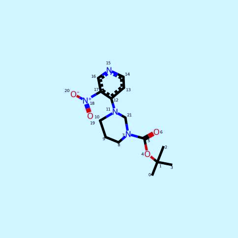 CC(C)(C)OC(=O)N1CCCN(c2ccncc2[N+](=O)[O-])C1